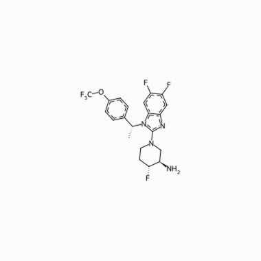 C[C@H](c1ccc(OC(F)(F)F)cc1)n1c(N2CC[C@@H](F)[C@H](N)C2)nc2cc(F)c(F)cc21